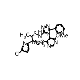 COc1ncnc(OC)c1-n1c(NSC(C)C(C)c2ccc(Cl)cn2)nnc1-c1cccnc1